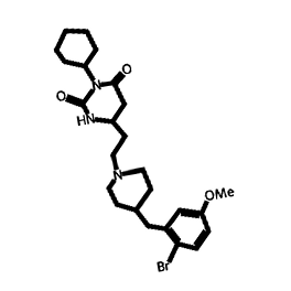 COc1ccc(Br)c(CC2CCN(CCC3CC(=O)N(C4CCCCC4)C(=O)N3)CC2)c1